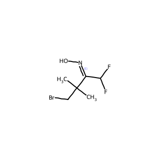 CC(C)(CBr)/C(=N\O)C(F)F